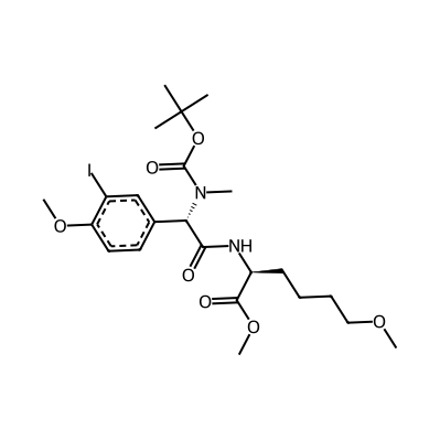 COCCCC[C@H](NC(=O)[C@H](c1ccc(OC)c(I)c1)N(C)C(=O)OC(C)(C)C)C(=O)OC